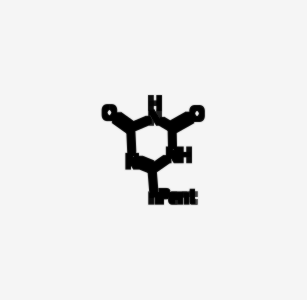 CCCCCc1nc(=O)[nH]c(=O)[nH]1